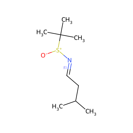 CC(C)C/C=N/[S+]([O-])C(C)(C)C